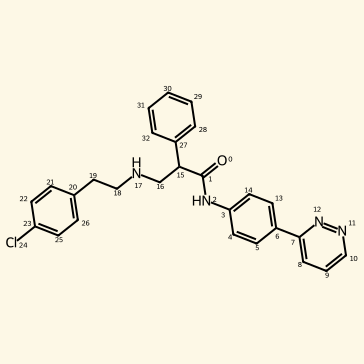 O=C(Nc1ccc(-c2cccnn2)cc1)C(CNCCc1ccc(Cl)cc1)c1ccccc1